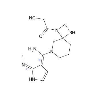 C/N=C1/NC=C/C1=C(/N)N1CCCC2(BCN2C(=O)CC#N)C1